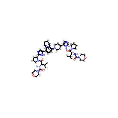 CC(C)[C@@H](NC(=O)N1CCOCC1)C(=O)N1CCC[C@H]1c1ncc(-c2ccc(N3CCC(c4cnc([C@@H]5CCCN5C(=O)[C@H](NC(=O)N5CCOCC5)C(C)C)[nH]4)CC3)c3c2C2CCC3N2C)[nH]1